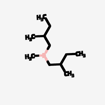 CCC(C)CB(C)CC(C)CC